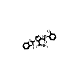 NC(=O)c1c(C(=O)Nc2ccccc2Cl)ncn1-c1nc2ccccc2[nH]1